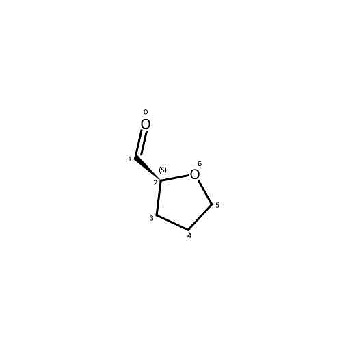 O=C[C@@H]1CCCO1